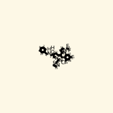 O[C@@]1(CNCc2ccccc2)CC2=C(c3ccn(C(F)F)n3)[C@H](c3ccc(F)cc3Cl)N=C(c3nccs3)N2C1